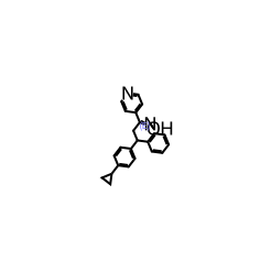 O/N=C(\CC(c1ccccc1)c1ccc(C2CC2)cc1)c1ccncc1